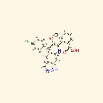 COc1c(-c2ccccc2C(=O)O)nc2cc3[nH]ncc3cc2c1-c1ccc(F)cc1